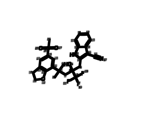 CC(C)(CC(O)(Cc1[nH]c2ccccc2c1C#N)C(F)(F)F)c1cc(S(C)(=O)=O)cc2c1OCC2